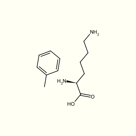 Cc1ccccc1.NCCCC[C@H](N)C(=O)O